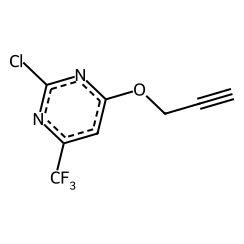 C#CCOc1cc(C(F)(F)F)nc(Cl)n1